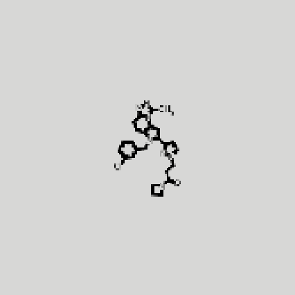 Cc1nnc2ccc3c(cc(-c4ccn(CCC(=O)N5CCC5)n4)n3Cc3cccc(Cl)c3)n12